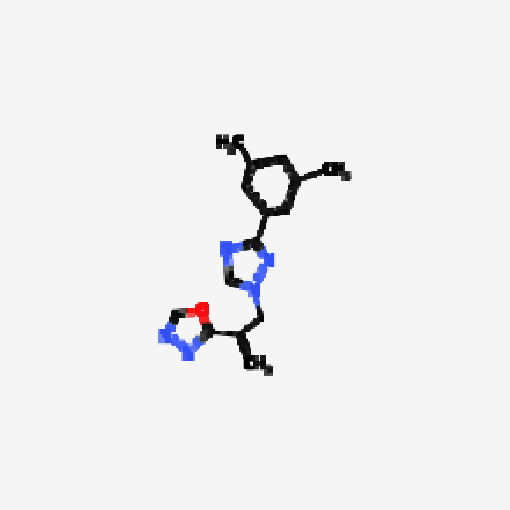 C=C(Cn1cnc(-c2cc(C)cc(C)c2)n1)c1nnco1